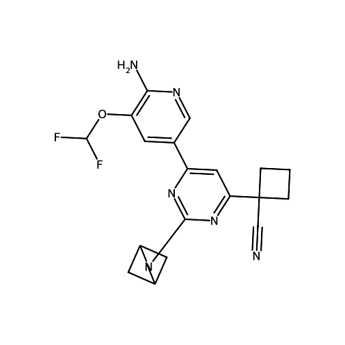 N#CC1(c2cc(-c3cnc(N)c(OC(F)F)c3)nc(N3CC4CC3C4)n2)CCC1